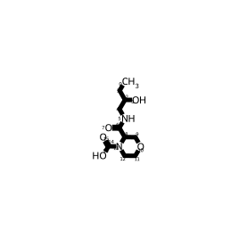 CCC(O)CNC(=O)C1COCCN1C(=O)O